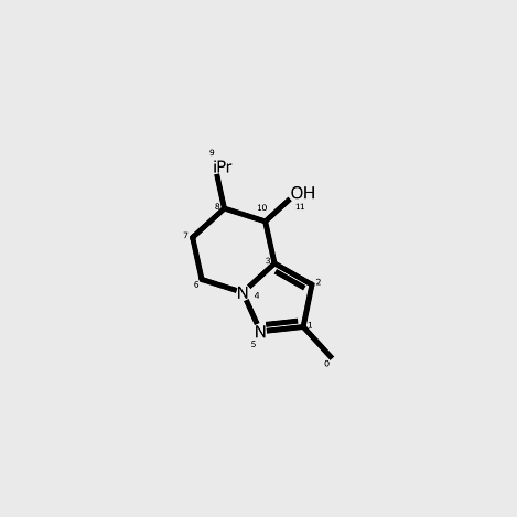 Cc1cc2n(n1)CCC(C(C)C)C2O